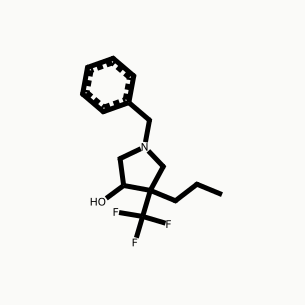 CCCC1(C(F)(F)F)CN(Cc2ccccc2)CC1O